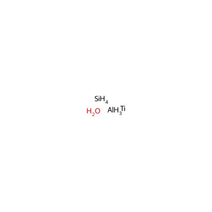 O.[AlH3].[SiH4].[Ti]